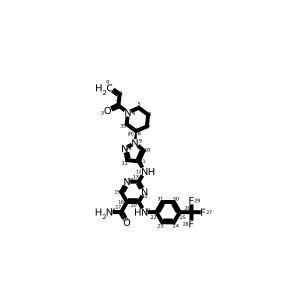 C=CC(=O)N1CCC[C@@H](n2cc(Nc3ncc(C(N)=O)c(Nc4ccc(C(F)(F)F)cc4)n3)cn2)C1